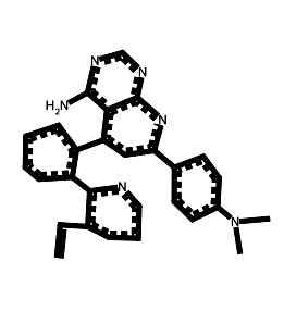 C=Cc1cccnc1-c1ccccc1-c1cc(-c2ccc(N(C)C)cc2)nc2ncnc(N)c12